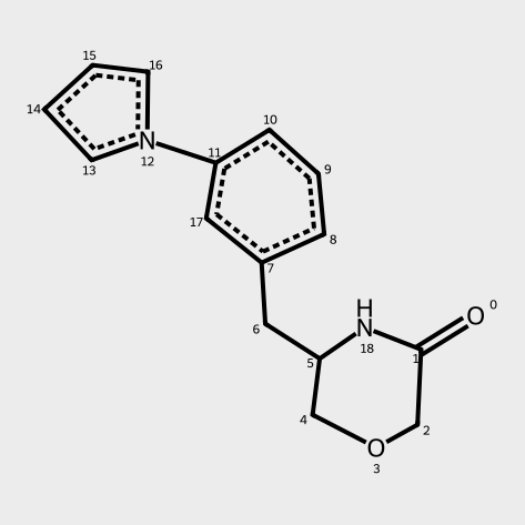 O=C1COCC(Cc2cccc(-n3cccc3)c2)N1